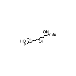 CCCCC(CCCCC(O)CCCCC(O)C[C@H](C)O)N=O